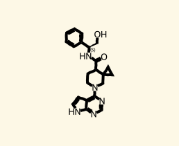 O=C(N[C@H](CO)c1ccccc1)C1CCN(c2ncnc3[nH]ccc23)CC12CC2